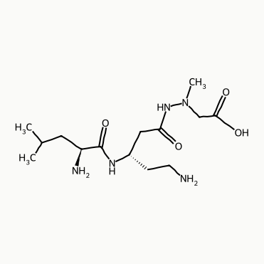 CC(C)C[C@H](N)C(=O)N[C@@H](CCN)CC(=O)NN(C)CC(=O)O